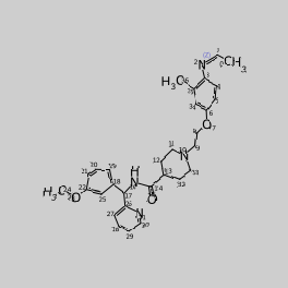 C/C=N\c1ccc(OCCN2CCC(C(=O)NC(c3cccc(OC)c3)c3ccccn3)CC2)cc1C